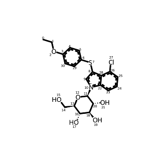 CCOc1ccc(Sc2cn([C@@H]3O[C@H](CO)[C@@H](O)[C@H](O)[C@H]3O)c3cccc(Cl)c23)cc1